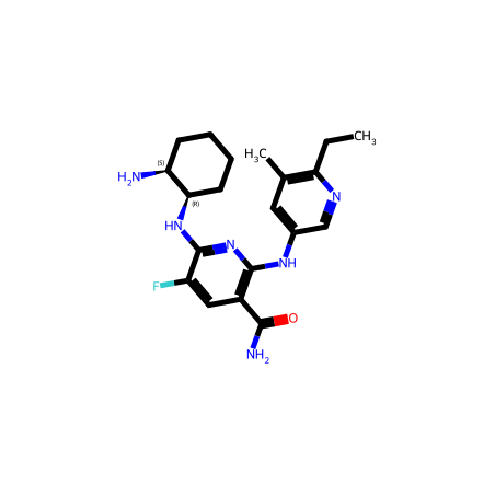 CCc1ncc(Nc2nc(N[C@@H]3CCCC[C@@H]3N)c(F)cc2C(N)=O)cc1C